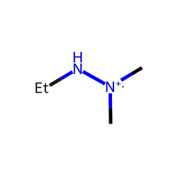 CCN[N+](C)C